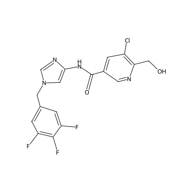 O=C(Nc1cn(Cc2cc(F)c(F)c(F)c2)cn1)c1cnc(CO)c(Cl)c1